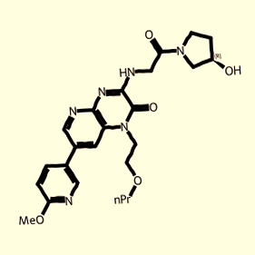 CCCOCCn1c(=O)c(NCC(=O)N2CC[C@@H](O)C2)nc2ncc(-c3ccc(OC)nc3)cc21